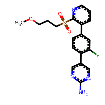 COCCCS(=O)(=O)c1ncccc1-c1ccc(-c2cnc(N)nc2)c(F)c1